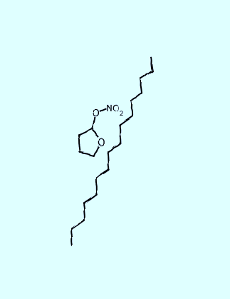 CCCCCCCCCCCCCCCC.O=[N+]([O-])OC1CCCO1